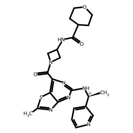 Cc1nc2nc(N[C@@H](C)c3cccnc3)nc(C(=O)N3CC(NC(=O)C4CCOCC4)C3)c2s1